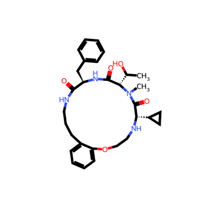 CC(O)[C@H]1C(=O)N[C@H](Cc2ccccc2)C(=O)NCCCc2ccccc2OCCN[C@@H](C2CC2)C(=O)N1C